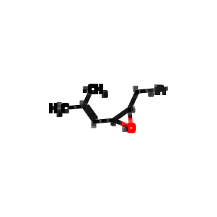 CC(C)=CC1OC1CC(C)C